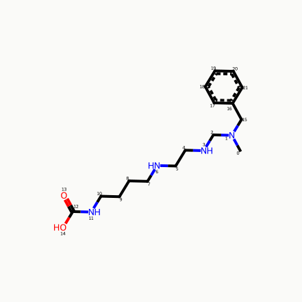 CN(CNCCNCCCCNC(=O)O)Cc1ccccc1